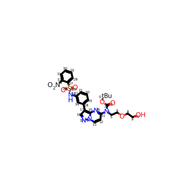 CC(C)(C)OC(=O)N(CCOCCO)c1ccn2ncc(-c3cccc(NS(=O)(=O)c4ccccc4[N+](=O)[O-])c3)c2n1